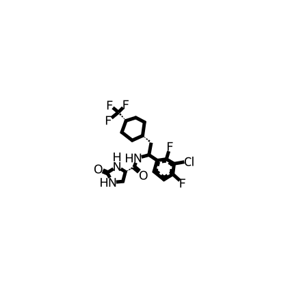 O=C1NC[C@@H](C(=O)NC(C[C@H]2CC[C@@H](C(F)(F)F)CC2)c2ccc(F)c(Cl)c2F)N1